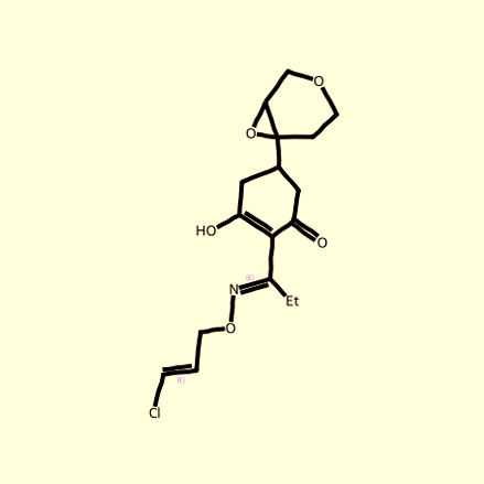 CC/C(=N\OC/C=C/Cl)C1=C(O)CC(C23CCOCC2O3)CC1=O